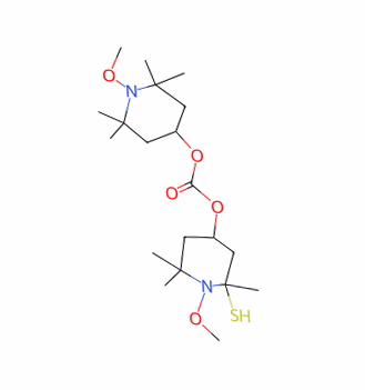 CON1C(C)(C)CC(OC(=O)OC2CC(C)(C)N(OC)C(C)(S)C2)CC1(C)C